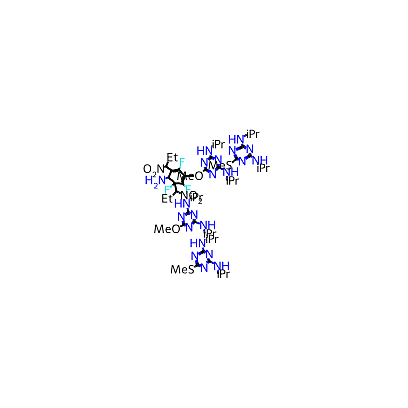 CCC(C1=C(F)C(C)=C(F)C(F)(C(CC)[N+](=O)[O-])C1N)[N+](=O)[O-].COc1nc(NC(C)C)nc(NC(C)C)n1.COc1nc(NC(C)C)nc(NC(C)C)n1.CSc1nc(NC(C)C)nc(NC(C)C)n1.CSc1nc(NC(C)C)nc(NC(C)C)n1